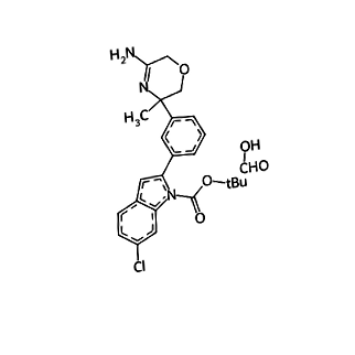 CC(C)(C)OC(=O)n1c(-c2cccc(C3(C)COCC(N)=N3)c2)cc2ccc(Cl)cc21.O=CO